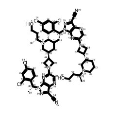 C[C@H](CCO)N1CC(C[C@H](c2ccc(Cl)cc2Cl)n2nc(C#N)c3ncc(N4CC([C@@H]5CCCN([C@@H](C)CCO)C5)C4)nc32)C[C@@H](C2CN(c3cnc4c(C#N)nn([C@H](C)c5ccc(Cl)cc5Cl)c4n3)C2)C1